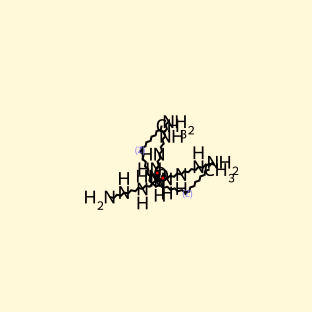 CCCCCCCC/C=C\CCCCCCCCC(CCCCCCCC/C=C\CCCCCCCC)(CCNCCCCNCCCN)N(NC(=O)NCCCNCCCCNCCCN)NC(=O)NCCCNCCCCNCCCN